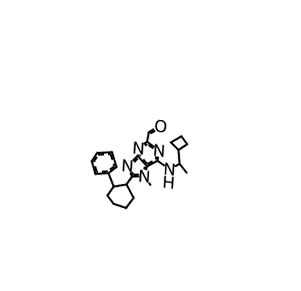 CC(Nc1nc(C=O)nc2nc(C3CCCCC3c3ccccc3)n(C)c12)C1CCC1